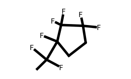 CC(F)(F)C1(F)CCC(F)(F)C1(F)F